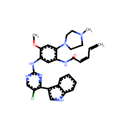 C=C/C=C\C(=O)Nc1cc(Nc2ncc(Cl)c(-c3c[nH]c4ccccc34)n2)c(OC)cc1N1CCN(C)CC1